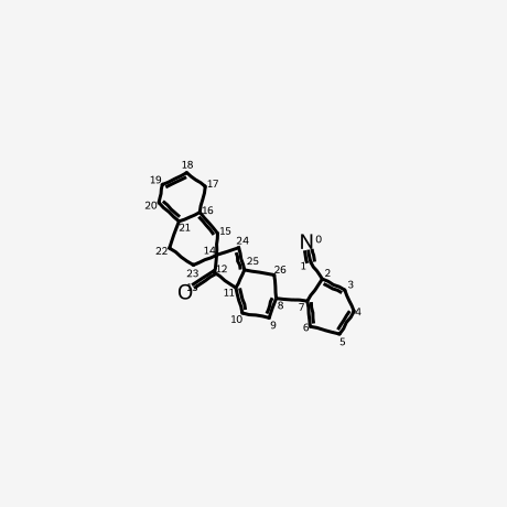 N#Cc1ccccc1C1=CC=C2C(=O)C3(C=C4CC=CC=C4CC3)C=C2C1